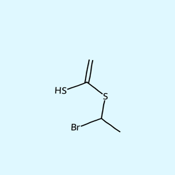 C=C(S)SC(C)Br